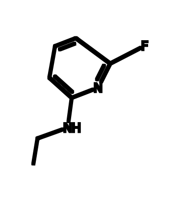 CCNc1cccc(F)n1